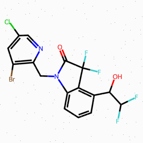 O=C1N(Cc2ncc(Cl)cc2Br)c2cccc(C(O)C(F)F)c2C1(F)F